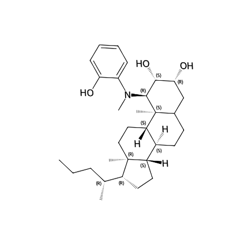 CCC[C@@H](C)[C@H]1CC[C@H]2[C@@H]3CCC4C[C@@H](O)[C@@H](O)[C@H](N(C)c5ccccc5O)[C@]4(C)[C@H]3CC[C@]12C